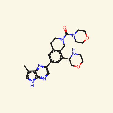 Cc1c[nH]c2ncc(-c3cc4c(c([C@@H]5COCCN5)c3)CN(C(=O)N3CCOCC3)CC4)nc12